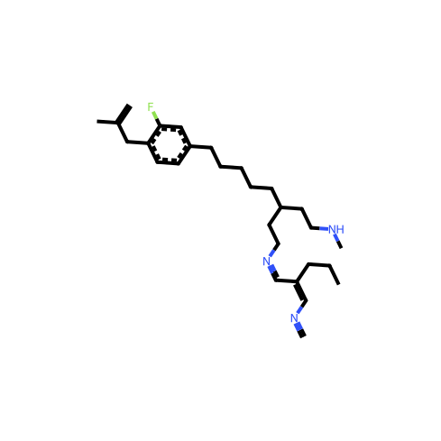 C=N/C=C(\C=N/CCC(CCCCCc1ccc(CC(=C)C)c(F)c1)CCNC)CCC